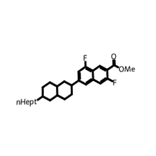 CCCCCCCC1CCC2CC(c3cc(F)c4cc(C(=O)OC)c(F)cc4c3)CCC2C1